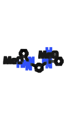 COc1ccccc1-c1nc(-c2cccc(-c3n[nH]c(-c4ccccc4OC)n3)c2)n[nH]1